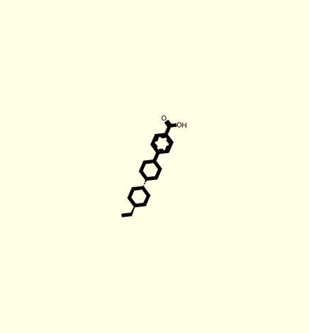 CC[C@H]1CC[C@H](C2CCC(c3ccc(C(=O)O)cc3)CC2)CC1